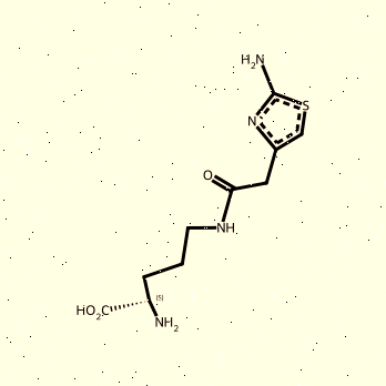 Nc1nc(CC(=O)NCCC[C@H](N)C(=O)O)cs1